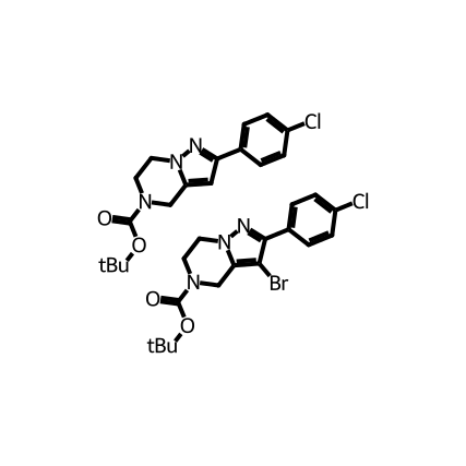 CC(C)(C)OC(=O)N1CCn2nc(-c3ccc(Cl)cc3)c(Br)c2C1.CC(C)(C)OC(=O)N1CCn2nc(-c3ccc(Cl)cc3)cc2C1